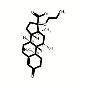 CCCO[C@]1(C(=O)O)CC[C@H]2[C@@H]3CCC4=CC(=O)CC[C@]4(C)[C@H]3[C@@H](O)C[C@@]21C